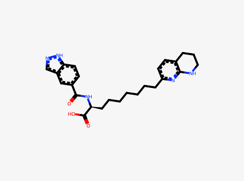 O=C(N[C@@H](CCCCCCCc1ccc2c(n1)NCCC2)C(=O)O)c1ccc2[nH]ncc2c1